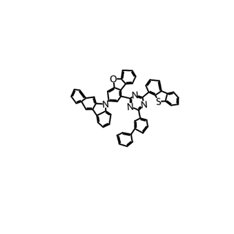 c1ccc(-c2cccc(-c3nc(-c4cccc5c4sc4ccccc45)nc(-c4cc(-n5c6ccccc6c6cc7ccccc7cc65)cc5oc6ccccc6c45)n3)c2)cc1